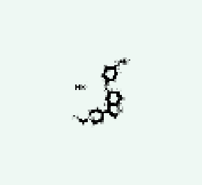 Br.CC(C)CN1CC=C(c2c[nH]c3ccc(Sc4ccc(OC(C)C)cc4)cc23)CC1